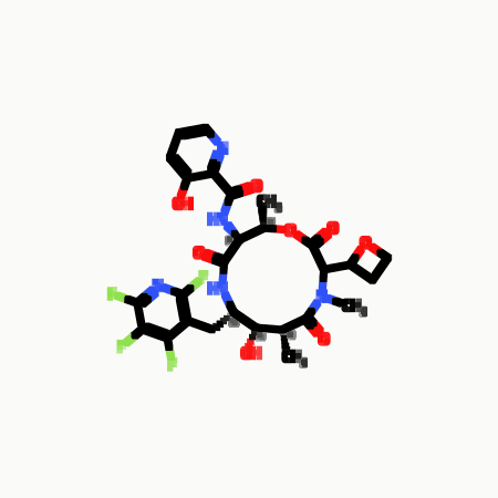 C[C@H]1OC(=O)C(C2CCO2)N(C)C(=O)[C@H](C)[C@H](O)[C@H](Cc2c(F)nc(F)c(F)c2F)NC(=O)[C@H]1NC(=O)c1ncccc1O